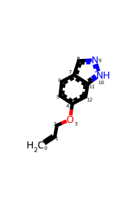 C=CCOc1ccc2cn[nH]c2c1